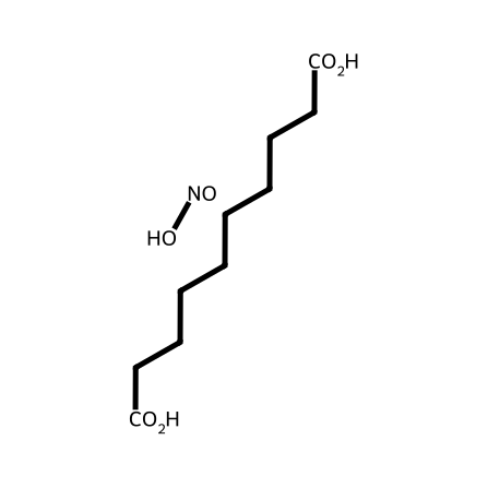 O=C(O)CCCCCCCCC(=O)O.O=NO